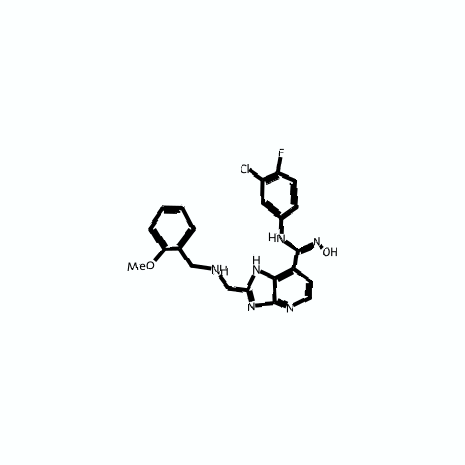 COc1ccccc1CNCc1nc2nccc(/C(=N\O)Nc3ccc(F)c(Cl)c3)c2[nH]1